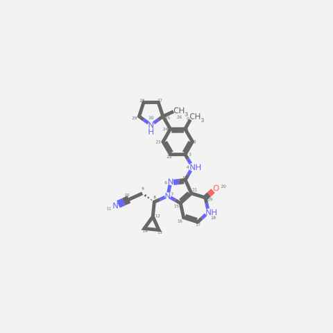 Cc1cc(Nc2nn([C@@H](CC#N)C3CC3)c3cc[nH]c(=O)c23)ccc1C1(C)CCCN1